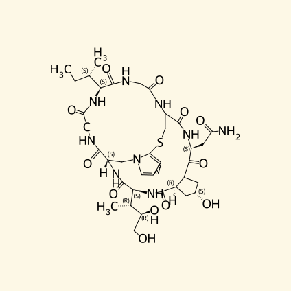 CC[C@H](C)[C@@H]1NC(=O)CNC(=O)[C@@H]2Cn3cc4ccccc4c3SCC(NC(=O)CNC1=O)C(=O)N[C@@H](CC(N)=O)C(=O)C1C[C@H](O)C[C@H]1C(=O)N[C@@H]([C@@H](C)[C@@H](O)CO)C(=O)N2